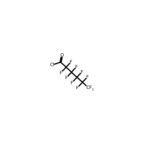 O=C(Cl)C(F)(F)C(F)(F)C(F)(F)C(F)(F)C(F)(F)F